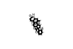 C=C1CC2NC(=O)C=C[C@]2(C)[C@@H]2CC[C@@]3(C)[C@@H](CCC3(C(=O)O)c3ccccc3F)[C@H]12